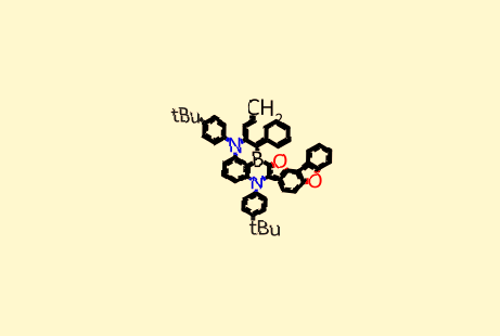 C=C/C=C1\C(=C2\C=CC=CC2)B2c3oc4c(ccc5oc6ccccc6c54)c3N(c3ccc(C(C)(C)C)cc3)c3cccc(c32)N1c1ccc(C(C)(C)C)cc1